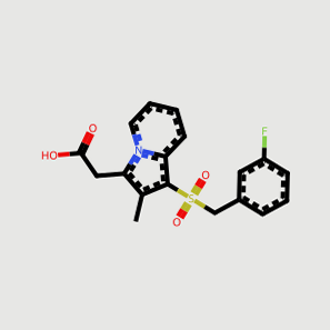 Cc1c(S(=O)(=O)Cc2cccc(F)c2)c2ccccn2c1CC(=O)O